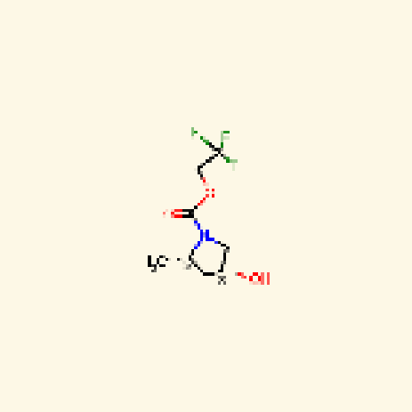 C[C@H]1C[C@@H](O)CN1C(=O)OCC(F)(F)F